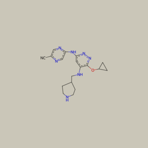 N#Cc1cnc(Nc2cc(NCC3CCNCC3)c(OC3CC3)nn2)cn1